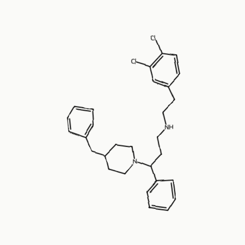 Clc1ccc(CCNCCC(c2ccccc2)N2CCC(Cc3ccccc3)CC2)cc1Cl